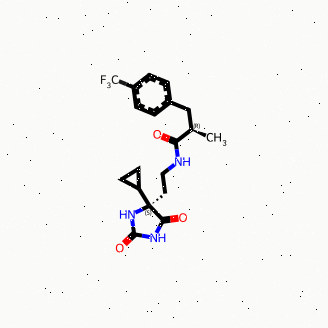 C[C@H](Cc1ccc(C(F)(F)F)cc1)C(=O)NCC[C@@]1(C2CC2)NC(=O)NC1=O